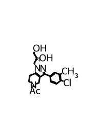 CC(=O)N1CCc2c(c(-c3ccc(Cl)c(C)c3)nn2C[C@@H](O)CO)C1